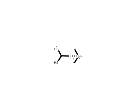 O=C(O)C(S)S.[CH3][Sn][CH3]